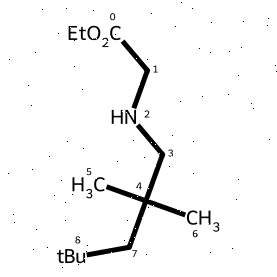 CCOC(=O)CNCC(C)(C)CC(C)(C)C